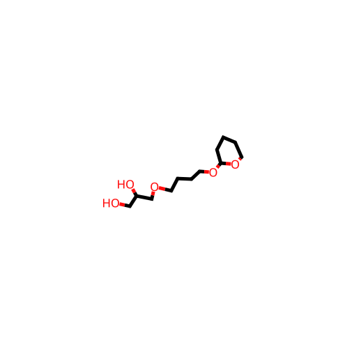 OCC(O)COCCCCOC1CCCCO1